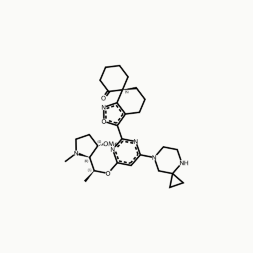 CO[C@H]1CCN(C)[C@@H]1[C@H](C)Oc1cc(N2CCNC3(CC3)C2)nc(-c2onc3c2CCC[C@@]32CCCCC2=O)n1